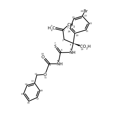 C=C(C)C[C@](NC(=S)NC(=O)OCc1ccccc1)(C(=O)O)c1ccc(Br)cc1